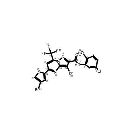 O=C(Nc1cc(Cl)ccc1O)c1nn2c(C(F)(F)F)cc(-c3cc(Br)cs3)nc2c1Br